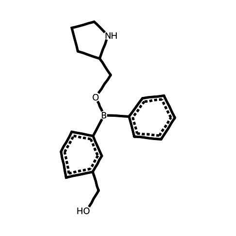 OCc1cccc(B(OCC2CCCN2)c2ccccc2)c1